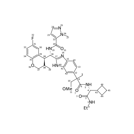 CCNC(=O)[C@H](NC(=O)C(C)(COC)c1ccc2nc([C@@H](NC(=O)c3ccnn3C)[C@@H]3c4cc(F)ccc4OCC3C)[nH]c2c1)C1CCC1